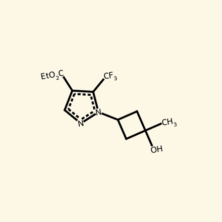 CCOC(=O)c1cnn(C2CC(C)(O)C2)c1C(F)(F)F